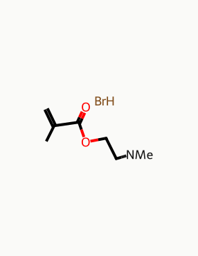 Br.C=C(C)C(=O)OCCNC